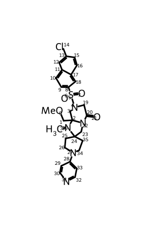 COCC12CN(S(=O)(=O)c3ccc4cc(Cl)ccc4c3)CC(=O)N1CC1(CCN(c3ccncc3)CC1)N2C